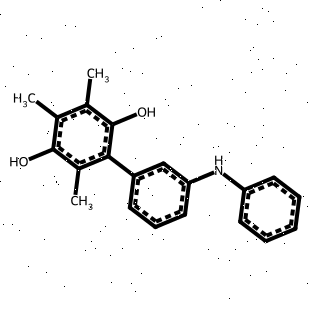 Cc1c(C)c(O)c(-c2cccc(Nc3ccccc3)c2)c(C)c1O